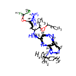 CCOC(C)C(/C=C(\NN)OC(F)F)Nc1cnc2cnn(C(C)(C)C)c2n1